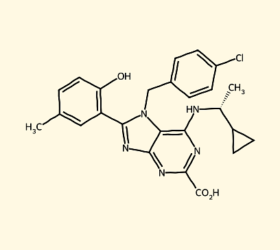 Cc1ccc(O)c(-c2nc3nc(C(=O)O)nc(N[C@H](C)C4CC4)c3n2Cc2ccc(Cl)cc2)c1